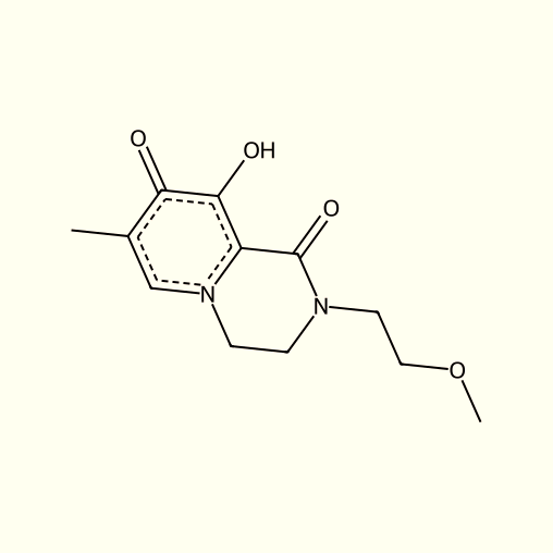 COCCN1CCn2cc(C)c(=O)c(O)c2C1=O